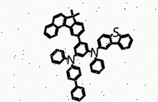 CC1(C)c2ccc(-c3cc(N(c4ccccc4)c4ccc(-c5ccccc5)cc4)cc(N(c4ccccc4)c4ccc5sc6ccccc6c5c4)c3)cc2-c2c1ccc1ccccc21